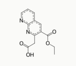 CCOC(=O)c1cc2cccnc2nc1CC(=O)O